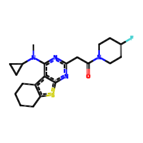 CN(c1nc(CC(=O)N2CCC(F)CC2)nc2sc3c(c12)CCCC3)C1CC1